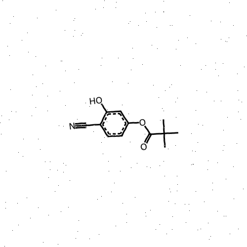 CC(C)(C)C(=O)Oc1ccc(C#N)c(O)c1